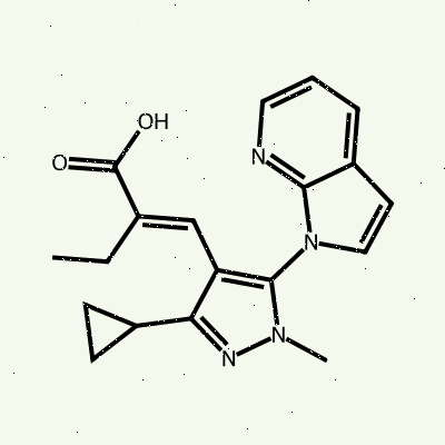 CCC(=Cc1c(C2CC2)nn(C)c1-n1ccc2cccnc21)C(=O)O